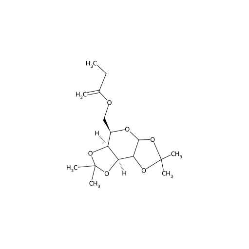 C=C(CC)OC[C@H]1OC2OC(C)(C)OC2[C@H]2OC(C)(C)O[C@H]21